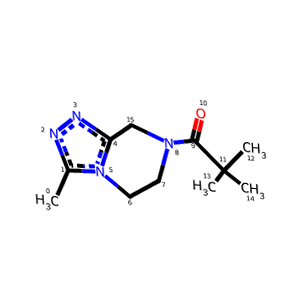 Cc1nnc2n1CCN(C(=O)C(C)(C)C)C2